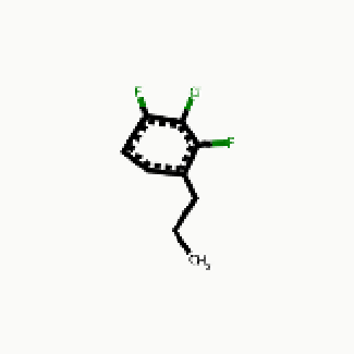 CCCc1ccc(F)c(Cl)c1F